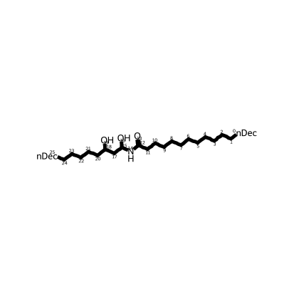 CCCCCCCCCCCCCCCCCCCCCC(=O)NC(O)CC(O)CCCCCCCCCCCCCCC